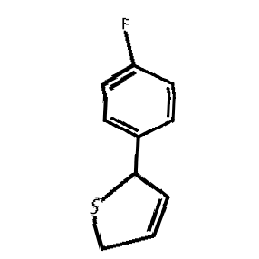 Fc1ccc([C]2C=CCS2)cc1